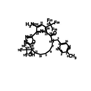 Cc1cnc(CN2CCCCC[C@](O)(C(F)(F)F)c3nnc(o3)-c3nc(c(C(F)(F)F)cc3N)C2=O)cn1